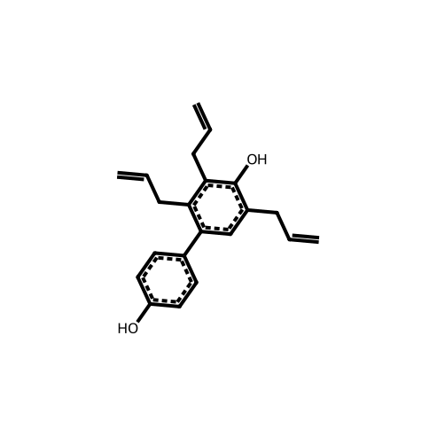 C=CCc1cc(-c2ccc(O)cc2)c(CC=C)c(CC=C)c1O